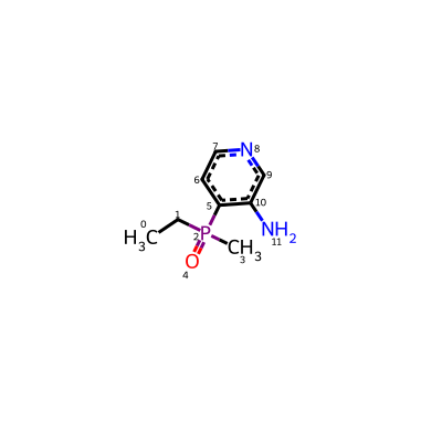 CCP(C)(=O)c1ccncc1N